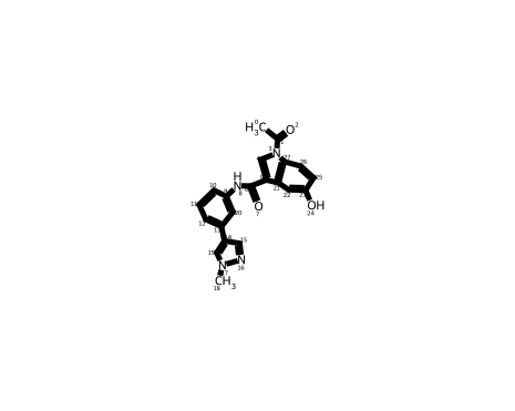 CC(=O)n1cc(C(=O)Nc2cccc(-c3cnn(C)c3)c2)c2cc(O)ccc21